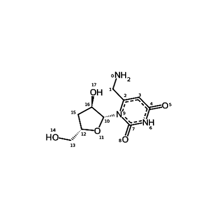 NCc1cc(=O)[nH]c(=O)n1[C@@H]1O[C@H](CO)C[C@H]1O